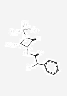 CCCC[Si](C)(C)N1C(=O)[C@@H](NC(=O)C(Br)c2ccccc2)[C@@H]1OC(C)=O